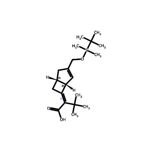 CC(C)(C)/C(C(=O)O)=C1/C[C@@H]2CC(CO[Si](C)(C)C(C)(C)C)=C[C@H]12